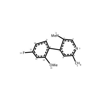 CNc1cnc(C)cc1-c1ccc(F)cc1OC